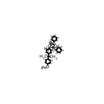 CC(C)Oc1ccc(C(C)(C)c2ccc(OP(=O)(Oc3ccccc3)C(C)(C)Oc3ccccc3)cc2)cc1